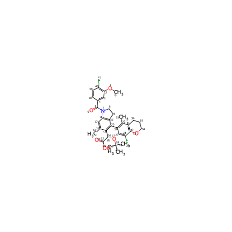 COc1cc(C(=O)N2CCc3c2cc(C)c([C@H](OC(C)(C)C)C(=O)O)c3-c2cc(F)c3c(c2C)CCCO3)ccc1F